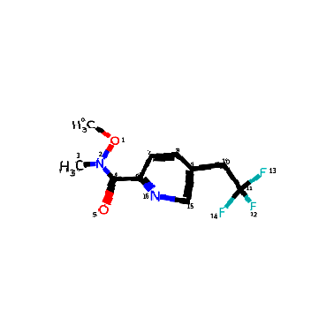 CON(C)C(=O)c1ccc(CC(F)(F)F)cn1